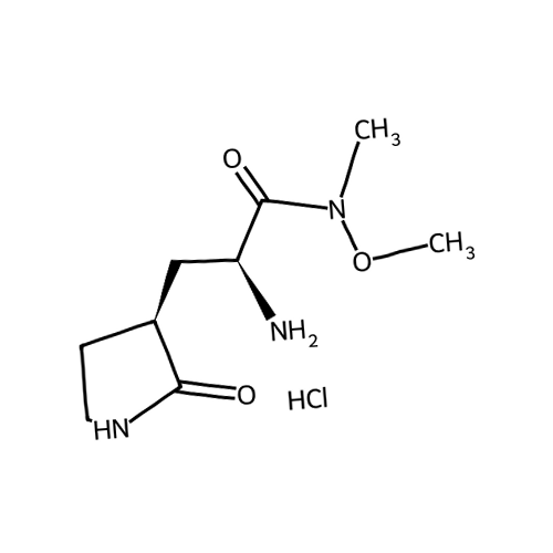 CON(C)C(=O)[C@@H](N)C[C@@H]1CCNC1=O.Cl